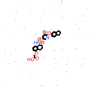 O=C(O)COc1cccc2c1CCCC2NS(=O)(=O)c1cnc(Oc2ccc3c(c2)CCC3)c(Br)c1